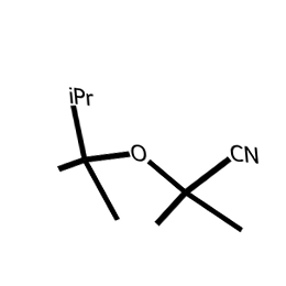 CC(C)C(C)(C)OC(C)(C)C#N